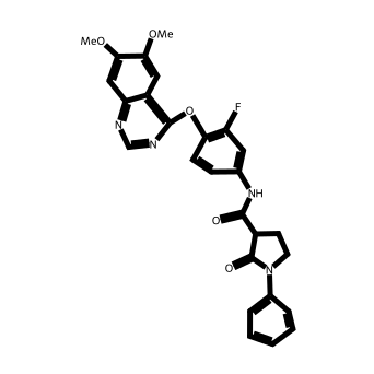 COc1cc2ncnc(Oc3ccc(NC(=O)C4CCN(c5ccccc5)C4=O)cc3F)c2cc1OC